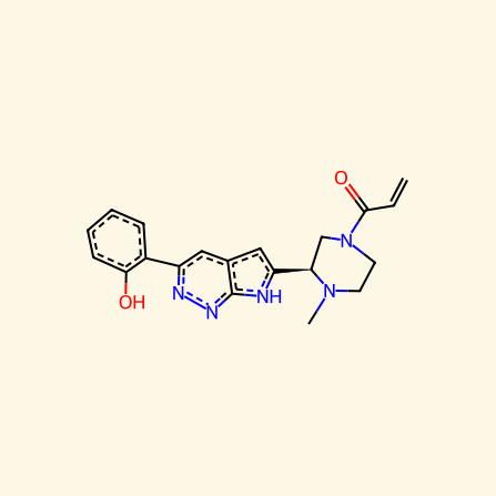 C=CC(=O)N1CCN(C)[C@@H](c2cc3cc(-c4ccccc4O)nnc3[nH]2)C1